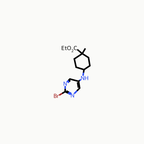 CCOC(=O)C1(C)CCC(Nc2cnc(Br)nc2)CC1